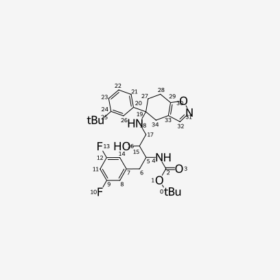 CC(C)(C)OC(=O)NC(Cc1cc(F)cc(F)c1)C(O)CNC1(c2cccc(C(C)(C)C)c2)CCc2oncc2C1